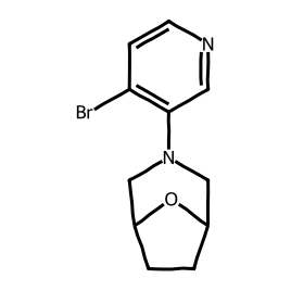 Brc1ccncc1N1CC2CCC(C1)O2